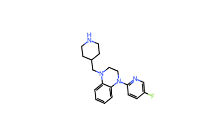 Fc1ccc(N2CCN(CC3CCNCC3)c3ccccc32)nc1